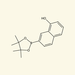 CC1(C)OB(c2ccc3cccc(O)c3c2)OC1(C)C